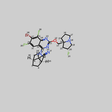 N#C[C@@H]1[C@@H]2CC[C@H]1CN(c1nc(OC[C@@]34CCCN3C[C@H](F)C4)nc3c(F)c(Br)c(F)cc13)C2